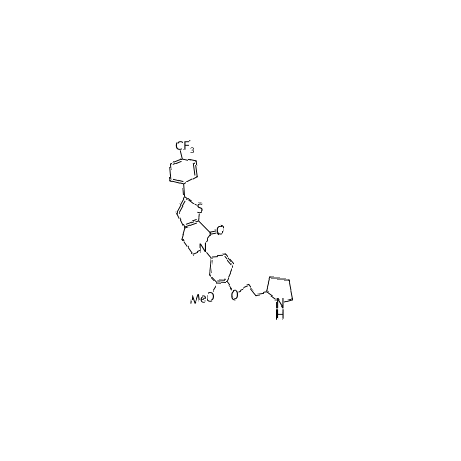 COc1cc(N2CCc3cc(-c4ccc(C(F)(F)F)cc4)sc3C2=O)ccc1OCCC1CCCN1